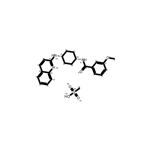 COc1cccc(C(=O)N[C@H]2CC[C@@H](Nc3ccc4ccccc4n3)CC2)c1.CS(=O)(=O)O